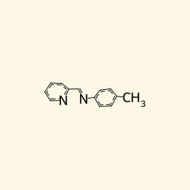 Cc1ccc(N=Cc2ccccn2)cc1